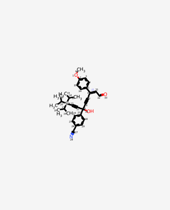 COc1ccc(/C(C#CC(O)(C#C[Si](C(C)C)(C(C)C)C(C)C)c2ccc(C#N)cc2)=C/C=O)cc1